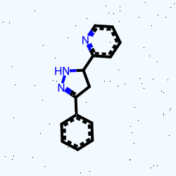 c1ccc(C2=NNC(c3ccccn3)C2)cc1